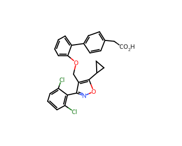 O=C(O)Cc1ccc(-c2ccccc2OCc2c(-c3c(Cl)cccc3Cl)noc2C2CC2)cc1